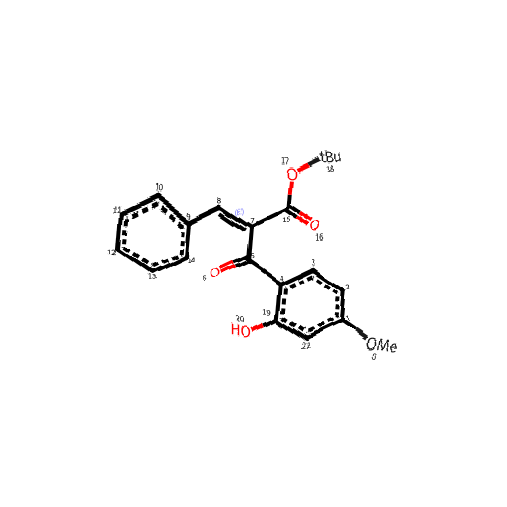 COc1ccc(C(=O)/C(=C\c2ccccc2)C(=O)OC(C)(C)C)c(O)c1